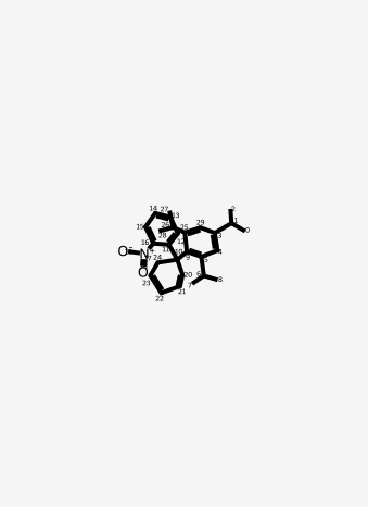 CC(C)c1cc(C(C)C)c(C2(c3ccccc3[N+](=O)[O-])C=CC=CC2)c(C(C)C)c1